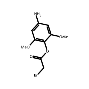 COc1cc(N)cc(OC)c1OC(=O)CBr